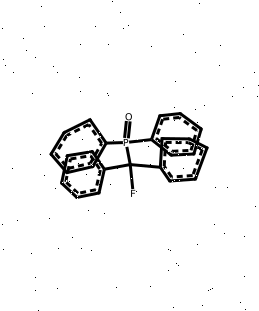 O=P(c1ccccc1)(c1ccccc1)C(F)(c1ccccc1)c1ccccc1